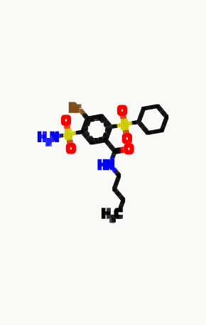 CCCCNC(=O)c1cc(S(N)(=O)=O)c(Br)cc1S(=O)(=O)C1CCCCC1